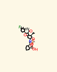 CNC(=O)c1c(-c2ccc(F)cc2)oc2cc(N(CC3OB(O)c4ccccc43)S(C)(=O)=O)cc(C3CC3)c12